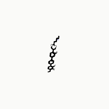 C/C=C/CCC1OCC(c2ccc(-c3ccc(-c4ccc(CC)c(F)c4F)cc3)cc2F)CO1